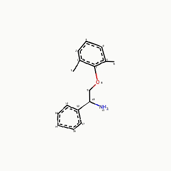 Cc1cccc(C)c1OCC(N)c1ccccc1